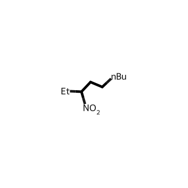 CCCCCCC(CC)[N+](=O)[O-]